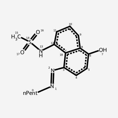 CCCCCN=Nc1ccc(O)c2cccc(NS(C)(=O)=O)c12